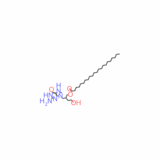 CCCCCCCCCCCCCCCCCCCCCC(=O)OCC(CCO)CN1CNc2c1nc(N)[nH]c2=O